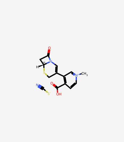 C[n+]1ccc(C(=O)O)c(C2=CN3C(=O)C[C@H]3SC2)c1.N#C[S-]